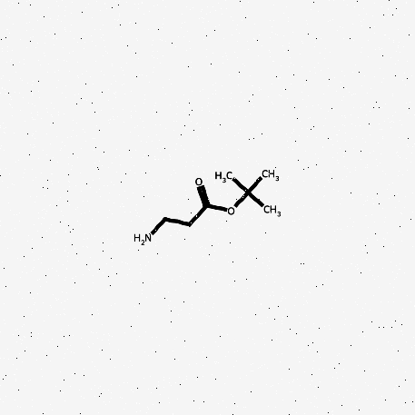 CC(C)(C)OC(=O)[CH]CN